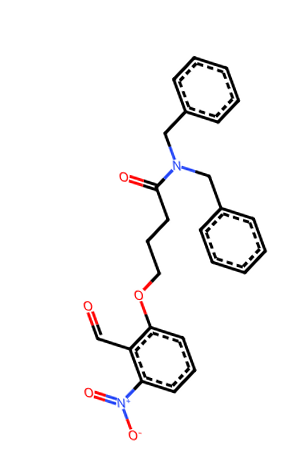 O=Cc1c(OCCCC(=O)N(Cc2ccccc2)Cc2ccccc2)cccc1[N+](=O)[O-]